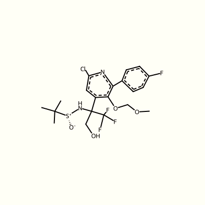 COCOc1c(C(CO)(N[S@+]([O-])C(C)(C)C)C(F)(F)F)cc(Cl)nc1-c1ccc(F)cc1